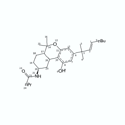 CCCCC=CC(C)(C)c1cc(O)c2c(c1)OC(C)(C)C1CC[C@H](NC(=O)CCC)CC21